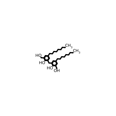 CCCCCCCCCc1cc(CO)c(O)c(Cc2cc(CCCCCCCCC)cc(CO)c2O)c1